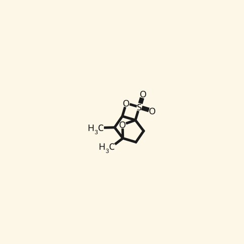 CC1C2OS(=O)(=O)C23CCC1(C)O3